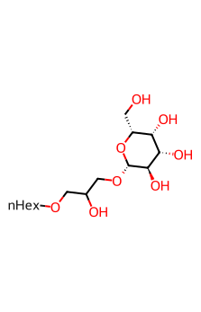 CCCCCCOCC(O)CO[C@@H]1O[C@H](CO)[C@H](O)[C@H](O)[C@H]1O